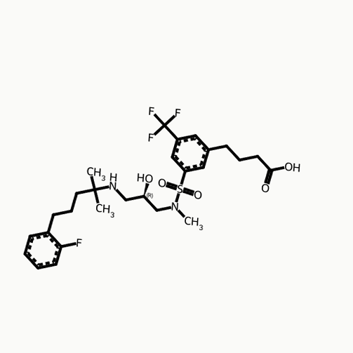 CN(C[C@H](O)CNC(C)(C)CCCc1ccccc1F)S(=O)(=O)c1cc(CCCC(=O)O)cc(C(F)(F)F)c1